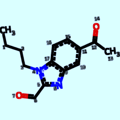 CCCCn1c(C=O)nc2cc(C(C)=O)ccc21